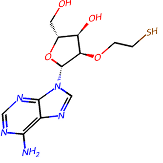 Nc1ncnc2c1ncn2[C@@H]1O[C@H](CO)[C@@H](O)[C@H]1OCCS